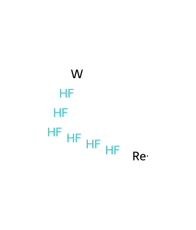 F.F.F.F.F.F.[Re].[W]